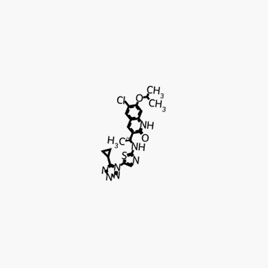 CC(C)Oc1cc2[nH]c(=O)c([C@H](C)Nc3ncc(-n4nnnc4C4CC4)s3)cc2cc1Cl